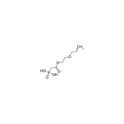 C=CCOCCOC(=O)CP(=O)(O)O